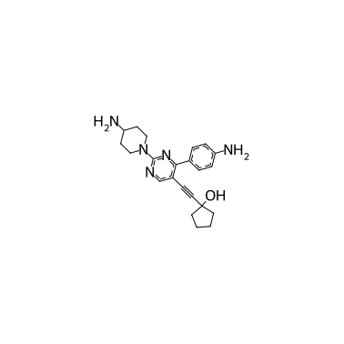 Nc1ccc(-c2nc(N3CCC(N)CC3)ncc2C#CC2(O)CCCC2)cc1